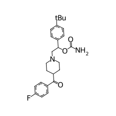 CC(C)(C)c1ccc(C(CN2CCC(C(=O)c3ccc(F)cc3)CC2)OC(N)=O)cc1